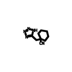 N#CC1(Cc2nnn[nH]2)CCCCC1